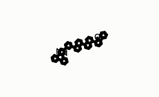 C1=CC2C(=CC=CC2c2cccc3c2oc2ccccc23)C(c2cccc3c(-c4cccc(-c5cnc6c7ccccc7c7ccccc7c6n5)c4)cccc23)=C1